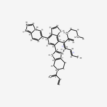 C=CC(=O)N1CCc2nc(-c3nc(-c4ccc5nncn5c4)c4ccsc4c3/C(C(=C)OCCOC)=C(F)/C=C/F)sc2C1